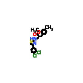 COC(=O)C(CNc1nc(-c2ccc(Cl)c(Cl)c2)cs1)Cc1ccc(C)cc1